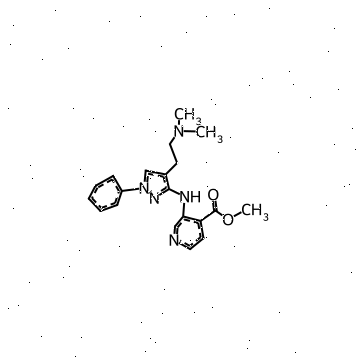 COC(=O)c1ccncc1Nc1nn(-c2ccccc2)cc1CCN(C)C